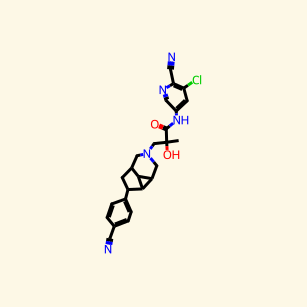 CC(O)(CN1CC2CC(c3ccc(C#N)cc3)C3C(C1)C23)C(=O)Nc1cnc(C#N)c(Cl)c1